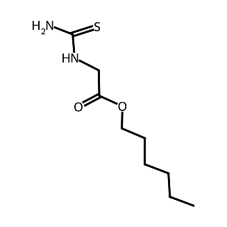 CCCCCCOC(=O)CNC(N)=S